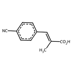 C/C(=C\c1ccc(C#N)cc1)C(=O)O